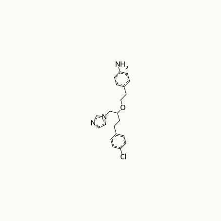 Nc1ccc(CCOC(CCc2ccc(Cl)cc2)Cn2ccnc2)cc1